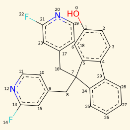 Oc1ccc2c(c1)C(Cc1ccnc(F)c1)(Cc1ccnc(F)c1)c1ccccc1-2